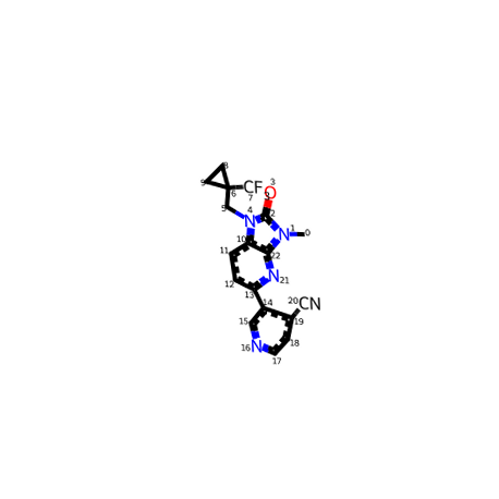 Cn1c(=O)n(CC2(C(F)(F)F)CC2)c2ccc(-c3cnccc3C#N)nc21